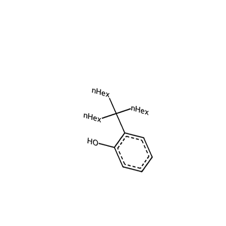 CCCCCCC(CCCCCC)(CCCCCC)c1ccccc1O